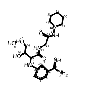 Cl.N=C(N)c1cccc(NC(C(=O)NCC(=O)NN2CCCCC2)C(O)CO)c1